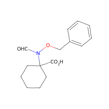 O=CN(OCc1ccccc1)C1(C(=O)O)CCCCC1